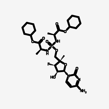 C[C@H](NP(=O)(N[C@@H](C)C(=O)OC1CCCCC1)OC[C@@]1(C)O[C@@H](n2ccc(N)nc2=O)[C@H](O)[C@@H]1F)C(=O)OC1CCCCC1